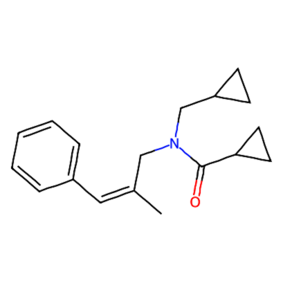 C/C(=C/c1ccccc1)CN(CC1CC1)C(=O)C1CC1